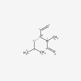 CC(C)C[C@H](C=O)N(C)C=O